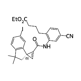 CCOC(=O)CCCc1ccc(C#N)cc1NC(=O)C1=C[C@]12CC(C)(C)c1ccc(I)cc12